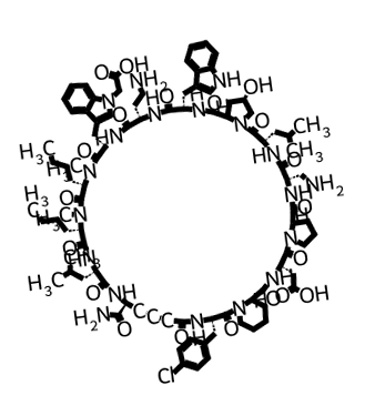 CCCC[C@H]1C(=O)N(C)[C@@H](CCCC)C(=O)N[C@@H](CC(C)C)C(=O)N[C@H](C(N)=O)CCCC(=O)N[C@@H](Cc2ccc(Cl)cc2)C(=O)N2CCCC[C@H]2C(=O)N[C@@H](CC(=O)O)C(=O)N2CCC[C@H]2C(=O)N[C@@H](CN)C(=O)N[C@@H](CC(C)C)C(=O)N2C[C@H](O)C[C@H]2C(=O)N[C@@H](Cc2c[nH]c3ccccc23)C(=O)N[C@@H](CCN)C(=O)N[C@@H](Cc2cn(CC(=O)O)c3ccccc23)C(=O)N1C